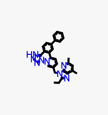 CCc1nc2c(C)cc(C)nc2n1Cc1ccc(-c2cc(-c3ccccc3)ccc2-c2nnn[nH]2)nc1